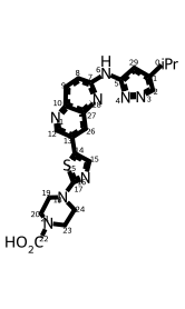 CC(C)c1cnnc(Nc2ccc3ncc(-c4cnc(N5CCN(C(=O)O)CC5)s4)cc3n2)c1